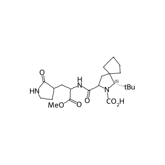 COC(=O)C(CC1CCNC1=O)NC(=O)C1CC2(CCCC2)[C@H](C(C)(C)C)N1C(=O)O